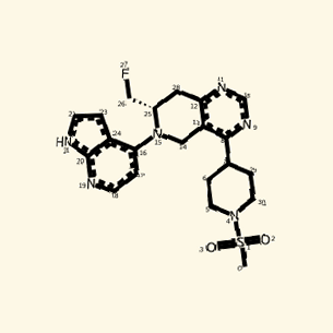 CS(=O)(=O)N1CCC(c2ncnc3c2CN(c2ccnc4[nH]ccc24)[C@H](CF)C3)CC1